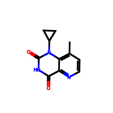 Cc1ccnc2c(=O)[nH]c(=O)n(C3CC3)c12